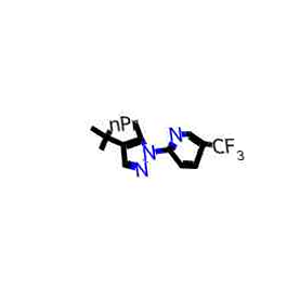 CCCC(C)(C)c1cnn(-c2ccc(C(F)(F)F)cn2)c1C